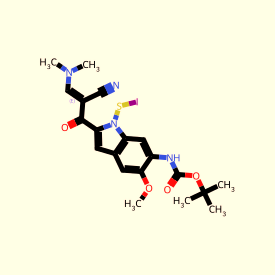 COc1cc2cc(C(=O)/C(C#N)=C/N(C)C)n(SI)c2cc1NC(=O)OC(C)(C)C